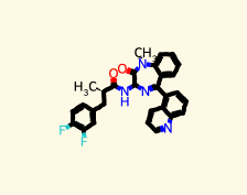 C[C@@H](Cc1ccc(F)c(F)c1)C(=O)NC1N=C(c2cccc3ncccc23)c2ccccc2N(C)C1=O